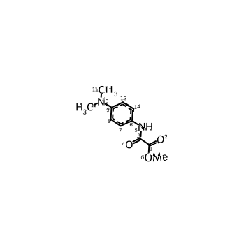 COC(=O)C(=O)Nc1ccc(N(C)C)cc1